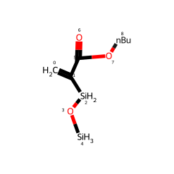 C=C([SiH2]O[SiH3])C(=O)OCCCC